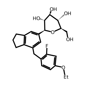 CCOc1ccc(Cc2cc([C@@H]3O[C@H](CO)[C@@H](O)[C@H](O)[C@H]3O)cc3c2CCC3)c(F)c1